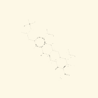 CN(Cc1cc(N(C)C)c2c(c1O)C(=O)C1=C(O)[C@]3(O)C(=O)C(C(N)=O)=C(O)[C@@H](N(C)C)[C@@H]3CC1C2)CC(C)(C)C